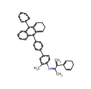 C=C(C1=CCCC=C1)/C(C)=N\c1ccc(-c2ccc(-c3c4c(c(-c5ccccc5)c5ccccc35)=CCCC=4)cc2)cc1C